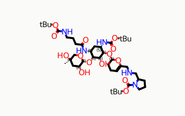 CC(C)(C)OC(=O)NCCCC(=O)N[C@@H]1C[C@H](NC(=O)OC(C)(C)C)[C@@H](O[C@@H]2CCC=C(CNCC3CCCN3C(=O)OC(C)(C)C)O2)[C@H](O)[C@H]1O[C@H]1OC[C@](C)(O)C[C@H]1O